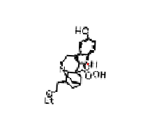 CCOCCC1CC2CN3CCc4c([nH]c5ccc(O)cc45)C(C(=O)OO)(C2)C13